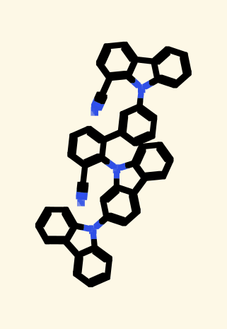 N#Cc1cccc(-c2cccc(-n3c4ccccc4c4cccc(C#N)c43)c2)c1-n1c2ccccc2c2ccc(-n3c4ccccc4c4ccccc43)cc21